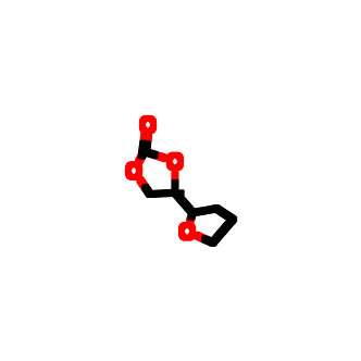 O=C1OC[C](C2CCCO2)O1